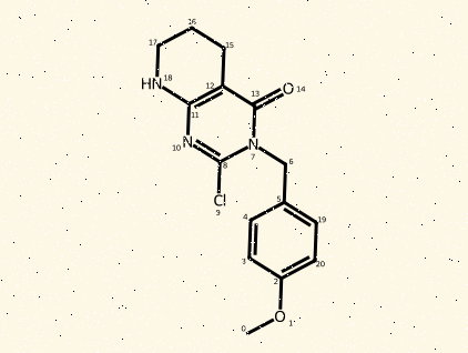 COc1ccc(Cn2c(Cl)nc3c(c2=O)CCCN3)cc1